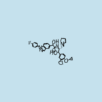 O=C(N[C@H](CN1CCCC1)[C@H](O)c1ccc(OC2CC2)c(Cl)c1)C(=O)c1ccc2c(cnn2-c2ccc(F)cc2)c1